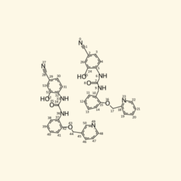 N#Cc1ccc(NC(=O)Nc2ccccc2OCc2ccccn2)c(O)c1.N#Cc1ccc(NC(=O)Nc2ccccc2OCc2cccnc2)c(O)c1